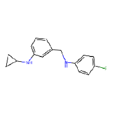 Fc1ccc(NCc2cccc(NC3CC3)c2)cc1